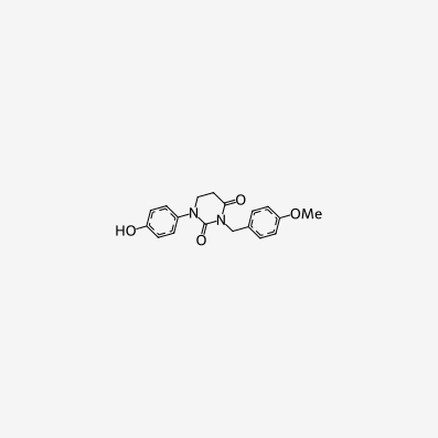 COc1ccc(CN2C(=O)CCN(c3ccc(O)cc3)C2=O)cc1